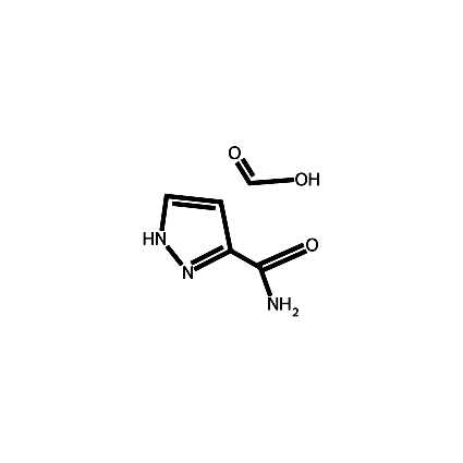 NC(=O)c1cc[nH]n1.O=CO